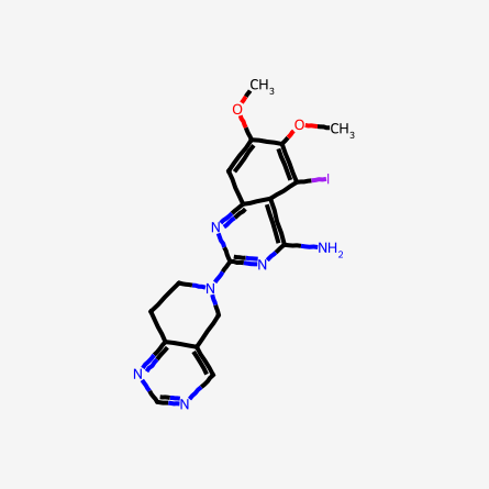 COc1cc2nc(N3CCc4ncncc4C3)nc(N)c2c(I)c1OC